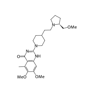 COC[C@@H]1CCCN1CCC1CCN(c2nc(=O)c3c(C)c(OC)c(OC)cc3[nH]2)CC1